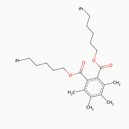 Cc1c(C)c(C)c(C(=O)OCCCCCC(C)C)c(C(=O)OCCCCCC(C)C)c1C